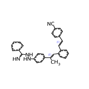 C/C(=C\c1ccccc1/C=C/c1ccc(C#N)cc1)c1ccc(NNC(=N)c2ccccc2)cc1